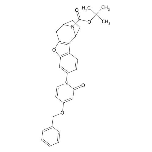 CC(C)(C)OC(=O)N1C2CCC1c1c(oc3cc(-n4ccc(OCc5ccccc5)cc4=O)ccc13)C2